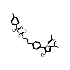 CCc1cc2c(C)nc(C)cn2c1-c1ccc(CCNC(=O)NS(=O)(=O)c2ccc(C)cc2)cc1